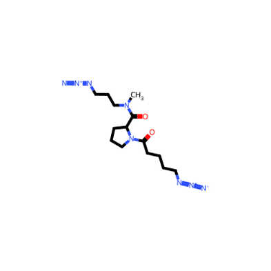 CN(CCCN=[N+]=[N-])C(=O)C1CCCN1C(=O)CCCCN=[N+]=[N-]